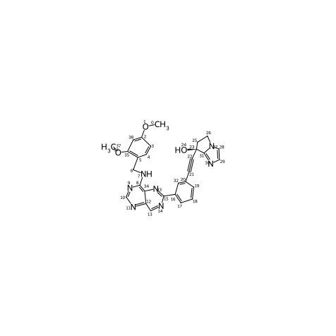 COc1ccc(CNc2ncnc3cnc(-c4cccc(C#C[C@]5(O)CCn6ccnc65)c4)nc23)c(OC)c1